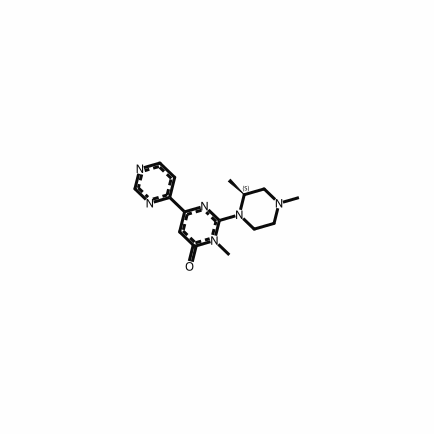 C[C@H]1CN(C)CCN1c1nc(-c2ccncn2)cc(=O)n1C